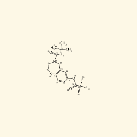 CC(C)(C)OC(=O)N1CCSc2ccc(OS(=O)C(F)(F)F)cc2C1